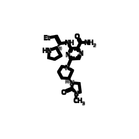 CCC=C(Nc1nc(N2CCC[C@@H](N3CCN(C)C3=O)C2)cnc1C(N)=O)[C@@H]1CCCN1